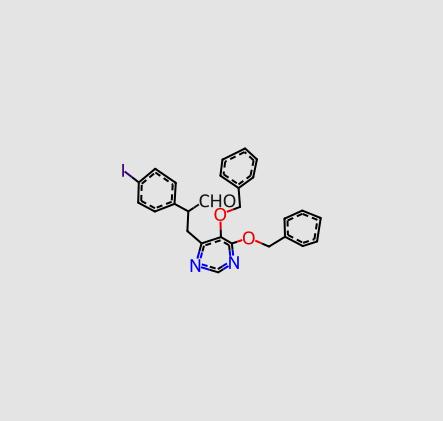 O=CC(Cc1ncnc(OCc2ccccc2)c1OCc1ccccc1)c1ccc(I)cc1